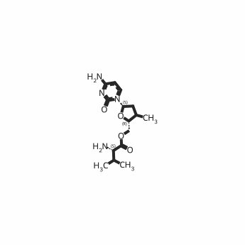 CC1C[C@@H](n2ccc(N)nc2=O)O[C@H]1COC(=O)[C@@H](N)C(C)C